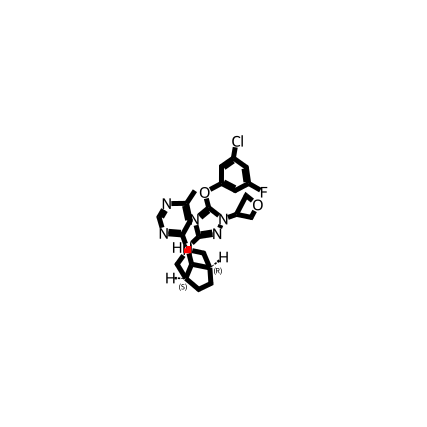 Cc1cc(N2C[C@H]3CC[C@@H](C2)C3Nc2nc(Oc3cc(F)cc(Cl)c3)n(C3COC3)n2)ncn1